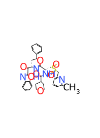 Cc1cccc(CS(=O)(=O)C[C@H](NC(=O)C2CCOCC2)C(=O)N[C@@H](CCc2ccccc2)C(=O)c2nc3ccccc3o2)n1